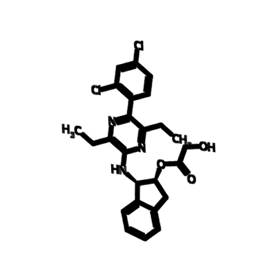 CCc1nc(-c2ccc(Cl)cc2Cl)c(CC)nc1N[C@@H]1c2ccccc2C[C@@H]1OC(=O)CO